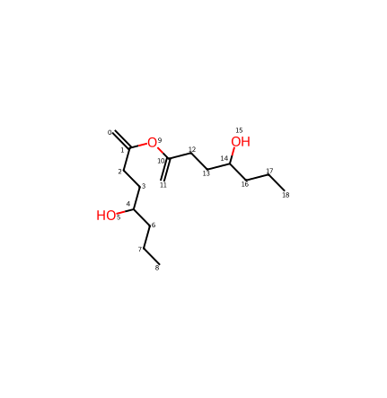 C=C(CCC(O)CCC)OC(=C)CCC(O)CCC